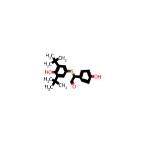 CC(C)(C)c1cc(SC(C=O)c2ccc(O)cc2)cc(C(C)(C)C)c1O